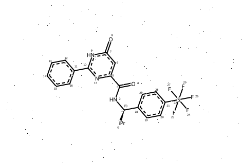 CC(C)[C@@H](NC(=O)c1cc(=O)[nH]c(-c2ccccc2)n1)c1ccc(S(F)(F)(F)(F)F)cc1